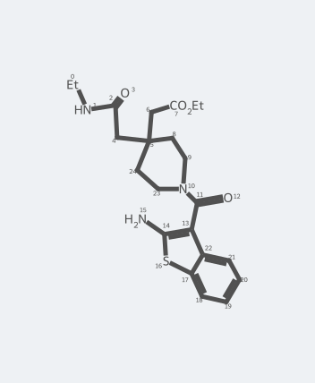 CCNC(=O)CC1(CC(=O)OCC)CCN(C(=O)c2c(N)sc3ccccc23)CC1